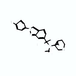 CC(C)(c1ccc2cn(-c3ccc(F)cc3)nc2c1)N(C(=O)O)C1CN2CCC1CC2